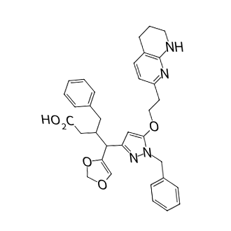 O=C(O)CC(Cc1ccccc1)C(C1=COCO1)c1cc(OCCc2ccc3c(n2)NCCC3)n(Cc2ccccc2)n1